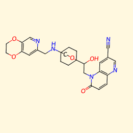 N#Cc1cnc2ccc(=O)n(CC(O)C34CCC(NCc5cc6c(cn5)OCCO6)(CC3)CO4)c2c1